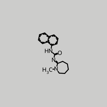 CN1CCCCCC1=NC(=O)Nc1cccc2ccccc12